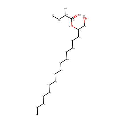 CCCCCCCCCCCCCCCC(CO)OC(=O)C(C)CC